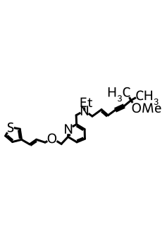 CCN(C/C=C/C#CC(C)(C)OC)Cc1cccc(COC/C=C/c2ccsc2)n1